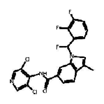 Cc1cn(C(F)c2cccc(F)c2F)c2cc(C(=O)Nc3c(Cl)cncc3Cl)ccc12